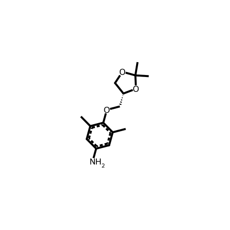 Cc1cc(N)cc(C)c1OC[C@@H]1COC(C)(C)O1